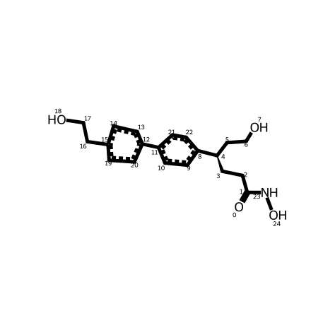 O=C(CC[C@H](CCO)c1ccc(-c2ccc(CCO)cc2)cc1)NO